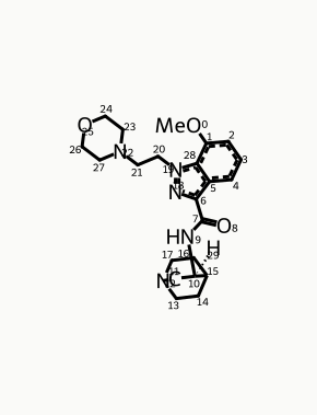 COc1cccc2c(C(=O)N[C@@H]3CN4CCC3CC4)nn(CCN3CCOCC3)c12